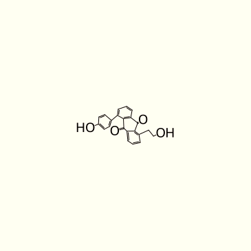 O=C1c2cccc(-c3ccc(O)cc3)c2C(=O)c2cccc(CCO)c21